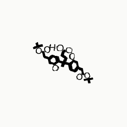 CC(C)(C)OC(=O)CC1=CC=C(C(C)(CCC(=O)O)C2=CC=C(CC(=O)OC(C)(C)C)CC2=O)C(=O)C1